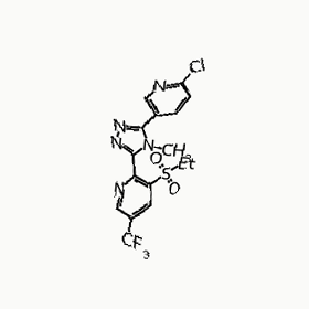 CCS(=O)(=O)c1cc(C(F)(F)F)cnc1-c1nnc(-c2ccc(Cl)nc2)n1C